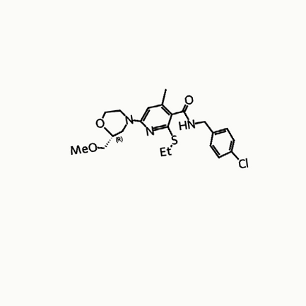 CCSc1nc(N2CCO[C@@H](COC)C2)cc(C)c1C(=O)NCc1ccc(Cl)cc1